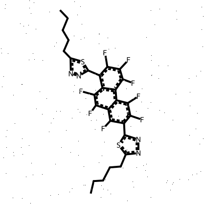 CCCCCc1nnc(-c2c(F)c(F)c3c(c2F)c(F)c(F)c2c(-c4nnc(CCCCC)s4)c(F)c(F)c(F)c23)s1